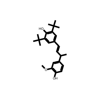 COc1cc(C(C)/C=C/c2cc(C(C)(C)C)c(O)c(C(C)(C)C)c2)ccc1O